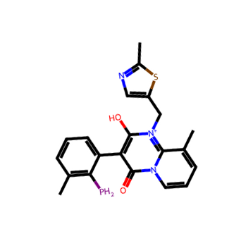 Cc1ncc(C[n+]2c(O)c(-c3cccc(C)c3P)c(=O)n3cccc(C)c32)s1